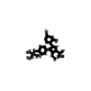 COC(=O)c1nn(-c2ccc(Cl)cc2Cl)c(-c2ccc(O[Si](C)(C)C(C)(C)C)cc2)c1CBr